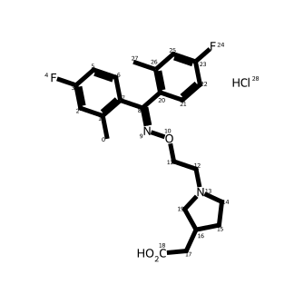 Cc1cc(F)ccc1C(=NOCCN1CCC(CC(=O)O)C1)c1ccc(F)cc1C.Cl